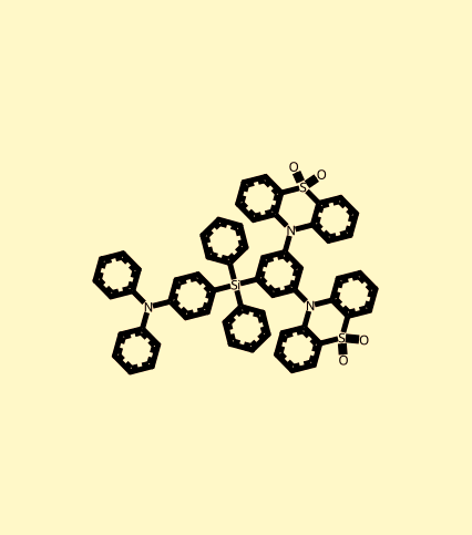 O=S1(=O)c2ccccc2N(c2cc(N3c4ccccc4S(=O)(=O)c4ccccc43)cc([Si](c3ccccc3)(c3ccccc3)c3ccc(N(c4ccccc4)c4ccccc4)cc3)c2)c2ccccc21